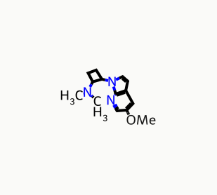 COc1cnc2c(ccn2C2CCC2N(C)C)c1